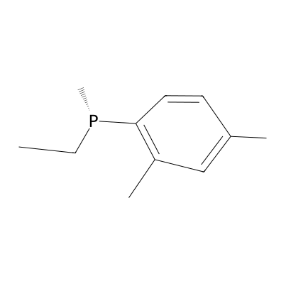 CC[P@](C)c1ccc(C)cc1C